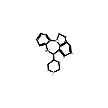 c1ccc2c(c1)NC(C1CCNCC1)c1cccc3c1N2CC3